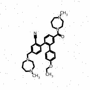 CCOc1ccc(-c2cc(C(=O)N3CCCN(C)CC3)ccc2-c2ccc(CN3CCCN(C)CC3)cc2C#N)cc1